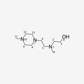 CN(CCO)CCN1CCN(C)CC1